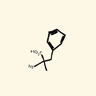 CC(S)(Cc1ccccc1)C(=O)O